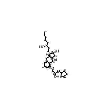 CCCCC[C@H](O)CC[C@@H]1[C@H]2Cc3cccc(OCC(O)OC4CCOC4)c3C[C@H]2C[C@H]1O